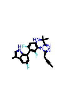 CC#CCc1nnc2n1-c1c(cc(F)c(-c3cc(F)cc4c(C)c[nH]c34)c1F)NC2(C)C